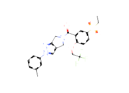 CCS(=O)(=O)c1ccc(O[C@@H](C)C(F)(F)F)c(C(=O)N2Cc3cn(-c4cccc(C)c4)nc3C2)c1